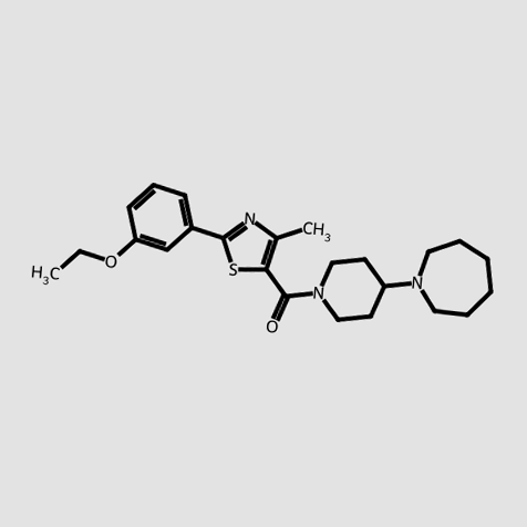 CCOc1cccc(-c2nc(C)c(C(=O)N3CCC(N4CCCCCC4)CC3)s2)c1